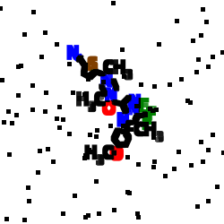 COc1ccc(-c2nc3c(C(=O)N4CCN([C@@H](C)c5ccc(C#N)s5)C[C@H]4C)cnn3c(C(F)(F)F)c2C)cc1